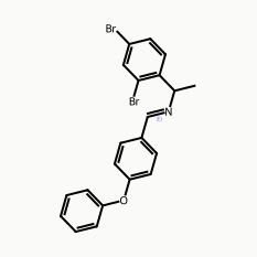 CC(/N=C/c1ccc(Oc2ccccc2)cc1)c1ccc(Br)cc1Br